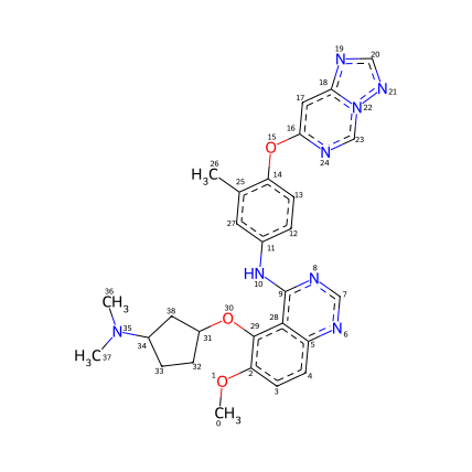 COc1ccc2ncnc(Nc3ccc(Oc4cc5ncnn5cn4)c(C)c3)c2c1OC1CCC(N(C)C)C1